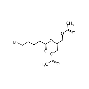 CC(=O)OCC(COC(C)=O)OC(=O)CCCCBr